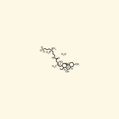 C[C@H](CCC(=O)NCCC[N+](C)(C)CCCS(=O)(=O)[O-])[C@H]1CC[C@H]2[C@@H]3[C@H](O)C[C@@H]4C[C@H](O)CC[C@]4(C)[C@H]3C[C@H](O)[C@]12C.O